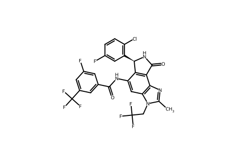 Cc1nc2c3c(c(NC(=O)c4cc(F)cc(C(F)(F)F)c4)cc2n1CC(F)(F)F)[C@@H](c1cc(F)ccc1Cl)NC3=O